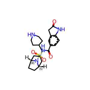 O=C1Cc2cc(C(=O)N[C@H]3C[C@H]4CC[C@@H](C3)N4S(=O)(=O)CC3CCNCC3)ccc2N1